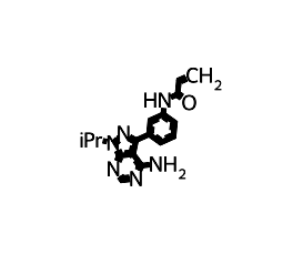 C=CC(=O)Nc1cccc(-c2nn(C(C)C)c3ncnc(N)c23)c1